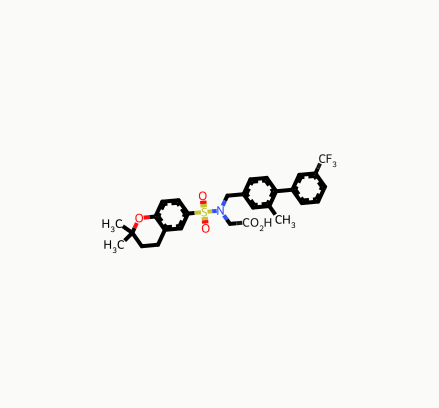 Cc1cc(CN(CC(=O)O)S(=O)(=O)c2ccc3c(c2)CCC(C)(C)O3)ccc1-c1cccc(C(F)(F)F)c1